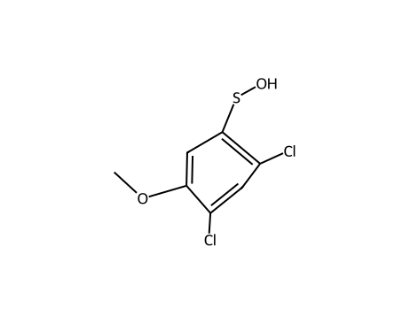 COc1cc(SO)c(Cl)cc1Cl